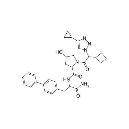 NC(=O)C(Cc1ccc(-c2ccccc2)cc1)NC(=O)C1CC(O)CN1C(=O)C(C1CCC1)n1cc(C2CC2)nn1